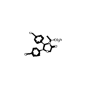 CCOC(=O)[C@@H](C)N1C(=O)CO[C@@H](c2ccc(Cl)cc2)[C@H]1c1ccc(Cl)cc1